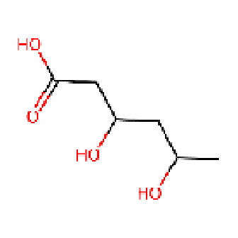 CC(O)CC(O)CC(=O)O